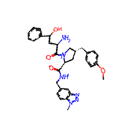 COc1ccc(C[C@@H]2C[C@@H](C(=O)NCc3ccc4c(c3)nnn4C)N(C(=O)[C@H](N)CC(O)c3ccccc3)C2)cc1